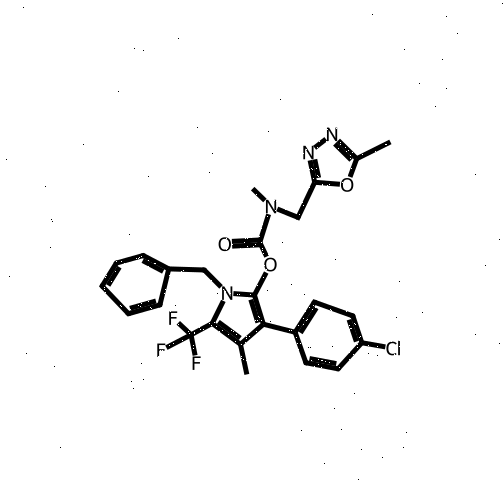 Cc1nnc(CN(C)C(=O)Oc2c(-c3ccc(Cl)cc3)c(C)c(C(F)(F)F)n2Cc2ccccc2)o1